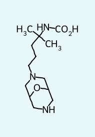 CC(C)(CCCN1CC2CNCC(C1)O2)NC(=O)O